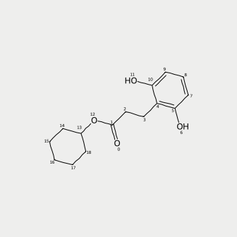 O=C(CCc1c(O)cccc1O)OC1CCCCC1